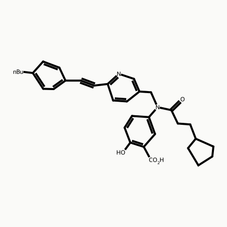 CCCCc1ccc(C#Cc2ccc(CN(C(=O)CCC3CCCC3)c3ccc(O)c(C(=O)O)c3)cn2)cc1